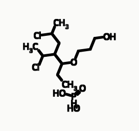 CCC(OCCCO)C(CC(C)Cl)C(C)Cl.O=[PH](O)O